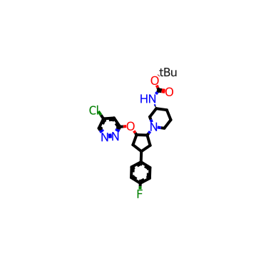 CC(C)(C)OC(=O)N[C@@H]1CCCN(C2CC(c3ccc(F)cc3)CC2Oc2cc(Cl)cnn2)C1